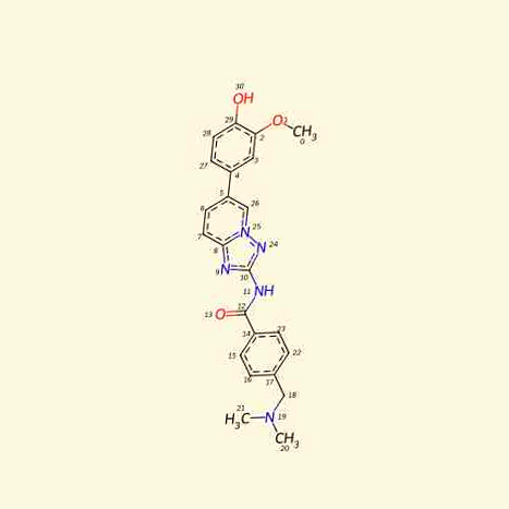 COc1cc(-c2ccc3nc(NC(=O)c4ccc(CN(C)C)cc4)nn3c2)ccc1O